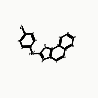 Clc1ccc(Nc2nc3ccc4ccccc4c3s2)cc1